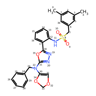 Cc1cc(C)cc(CS(=O)(=O)Nc2ccccc2-c2nnc(N(Cc3ccccc3)C3=COCO3)o2)c1